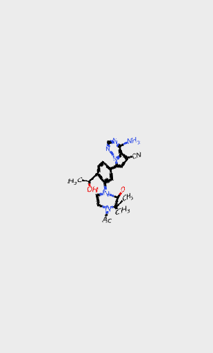 CC(=O)N1CCN(c2cc(-c3cc(C#N)c4c(N)ncnn34)ccc2[C@H](C)O)C(=O)C1(C)C